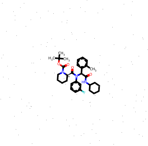 Cc1ccccc1C(C(=O)NC1CCCCC1)N(C(=O)[C@H]1CCCCN1C(=O)OC(C)(C)C)c1cccc(F)c1